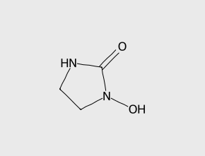 O=C1NCCN1O